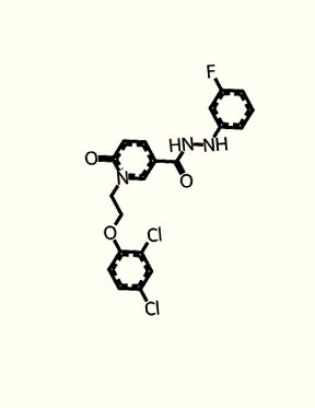 O=C(NNc1cccc(F)c1)c1ccc(=O)n(CCOc2ccc(Cl)cc2Cl)c1